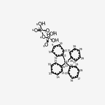 O=P(O)(O)OP(=O)(O)O.c1ccc([N+](c2ccccc2)(c2ccccc2)c2ccccc2)cc1